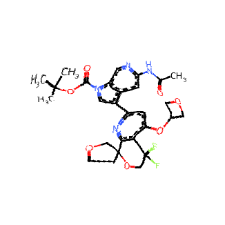 CC(=O)Nc1cc2c(-c3cc(OC4COC4)c4c(n3)C3(CCOC3)OCC4(F)F)cn(C(=O)OC(C)(C)C)c2cn1